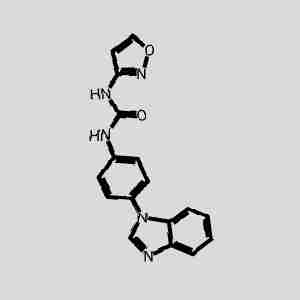 O=C(Nc1ccc(-n2cnc3ccccc32)cc1)Nc1ccon1